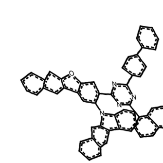 c1ccc(-c2ccc(-c3nc(-c4cc5oc6cc7ccccc7cc6c5cc4-n4c5ccccc5c5cc6ccccc6cc54)nc(-c4cccc5ccccc45)n3)cc2)cc1